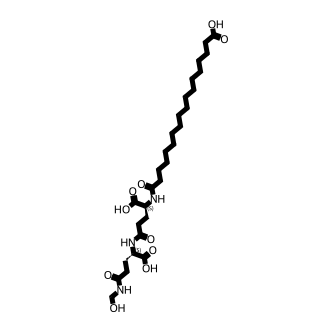 O=C(O)CCCCCCCCCCCCCCCCC(=O)N[C@@H](CCC(=O)N[C@@H](CCC(=O)NCO)C(=O)O)C(=O)O